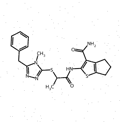 CC(Sc1nnc(Cc2ccccc2)n1C)C(=O)Nc1sc2c(c1C(N)=O)CCC2